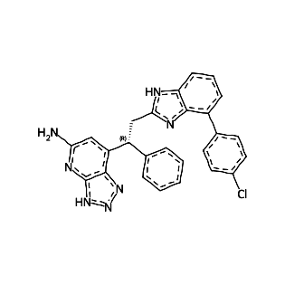 Nc1cc([C@H](Cc2nc3c(-c4ccc(Cl)cc4)cccc3[nH]2)c2ccccc2)c2nn[nH]c2n1